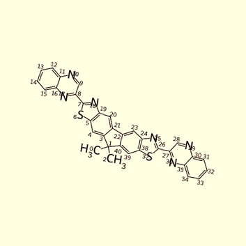 CC1(C)c2cc3sc(-c4cnc5ccccc5n4)nc3cc2-c2cc3nc(-c4cnc5ccccc5n4)sc3cc21